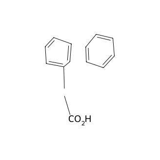 CC(=O)O.Cc1ccccc1.c1ccccc1